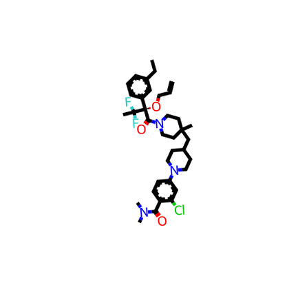 C=CCO[C@@](C(=O)N1CCC(C)(CC2CCN(c3ccc(C(=O)N(C)C)c(Cl)c3)CC2)CC1)(c1cccc(CC)c1)C(C)(F)F